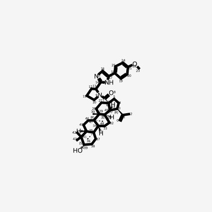 C=C(C)[C@@H]1CC[C@]2(C(=O)N3CCCC3c3ncc(-c4ccc(OC)cc4)[nH]3)CC[C@]3(C)[C@H](CC[C@@H]4[C@@]5(C)CC[C@H](O)C(C)(C)[C@@H]5CC[C@]43C)[C@@H]12